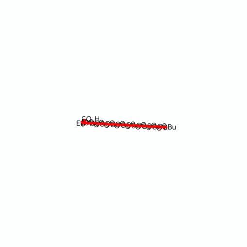 CCCCOC(=O)CCCCCOC(=O)CCCCCOC(=O)CCCCCOC(=O)CCCCCOC(=O)CCCCCOC(=O)CCCCCOC(=O)CCCCCOC(=O)CCCCCOC(=O)CCCCCOC(=O)CCCCCOC(=O)CCCCCOC(=O)CCCCCOC(=O)CCCCCOC(=O)CCCCCOC(=O)CCCCCOCC(COC(=O)C(C)(C)CC)OC(=O)CCC(=O)O